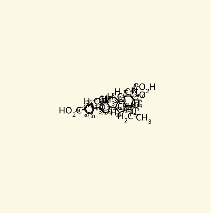 C=C(C)[C@@H]1CC[C@]2(C(=O)N(C)C(=O)O)CC[C@]3(C)[C@H](CC[C@@H]4[C@@]5(C)CC=C(c6ccc(C(=O)O)cc6)C(C)(C)[C@@H]5CC[C@]43C)[C@@H]12